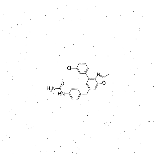 Cc1nc2c(-c3cccc(Cl)c3)cc(Cc3ccc(NC(N)=O)cc3)cc2o1